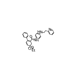 CCOC1(Cl)C=CC(c2ccccc2)=C(C(=O)Nc2ccc(NCCc3ccccn3)cc2)C1